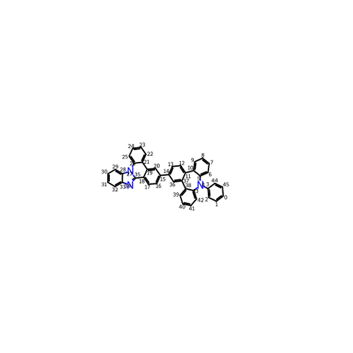 c1ccc(N2c3ccccc3-c3ccc(-c4ccc5c(c4)c4ccccc4n4c6ccccc6nc54)cc3-c3ccccc32)cc1